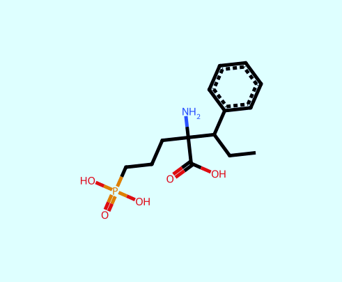 CCC(c1ccccc1)C(N)(CCCP(=O)(O)O)C(=O)O